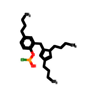 CCCCC1=CC(CCCC)C(Cc2cc(CCCC)ccc2OP(O)Cl)=C1